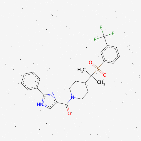 CC(C)(C1CCN(C(=O)c2c[nH]c(-c3ccccc3)n2)CC1)S(=O)(=O)c1cccc(C(F)(F)F)c1